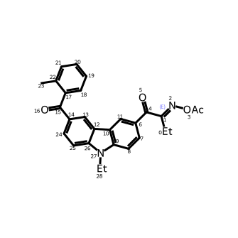 CC/C(=N\OC(C)=O)C(=O)c1ccc2c(c1)c1cc(C(=O)c3ccccc3C)ccc1n2CC